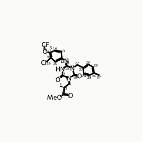 COC(=O)[C@@H](C)Cn1c(=O)[nH]/c(=N\c2ccc(OC(F)(F)F)c(Cl)c2)n(Cc2ccc(C)cc2)c1=O